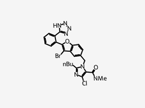 CCCCc1nc(Cl)c(C(=O)NC)n1Cc1ccc2oc(-c3ccccc3-c3nnn[nH]3)c(Br)c2c1